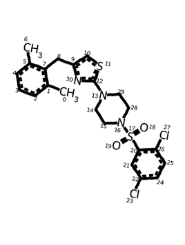 Cc1cccc(C)c1Cc1csc(N2CCN(S(=O)(=O)c3cc(Cl)ccc3Cl)CC2)n1